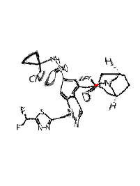 CC(C)C(=O)N1[C@@H]2CC[C@H]1CN(c1cc(S(=O)(=O)NC3(C#N)CC3)cc3c1cnn3-c1nnc(C(F)F)s1)C2